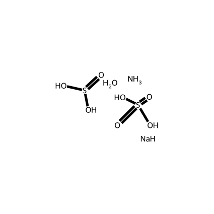 N.O.O=S(=O)(O)O.O=S(O)O.[NaH]